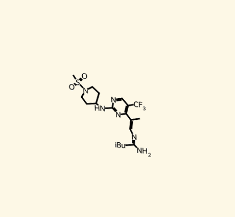 CCC(C)/C(N)=N\C=C(/C)c1nc(NC2CCN(S(C)(=O)=O)CC2)ncc1C(F)(F)F